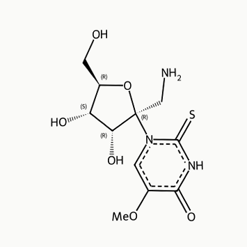 COc1cn([C@]2(CN)O[C@H](CO)[C@@H](O)[C@H]2O)c(=S)[nH]c1=O